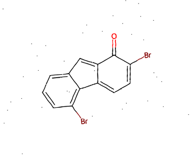 O=C1C(Br)=CC=C2C1=Cc1cccc(Br)c12